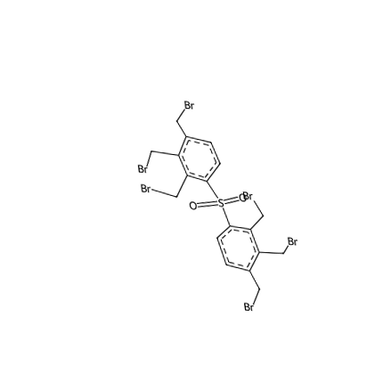 O=S(=O)(c1ccc(CBr)c(CBr)c1CBr)c1ccc(CBr)c(CBr)c1CBr